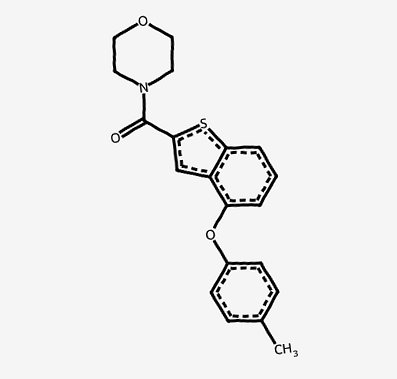 Cc1ccc(Oc2cccc3sc(C(=O)N4CCOCC4)cc23)cc1